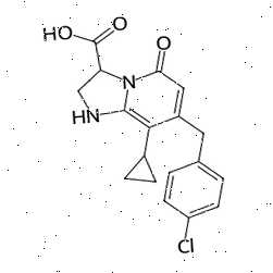 O=C(O)C1CNc2c(C3CC3)c(Cc3ccc(Cl)cc3)cc(=O)n21